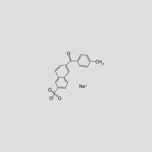 Cc1ccc(C(=O)c2ccc3cc(S(=O)(=O)[O-])ccc3c2)cc1.[Na+]